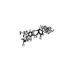 Cc1cc(OCP(=O)(O)O)cc(C)c1Cc1ccc(O)c(C(=O)NC(C)C)c1